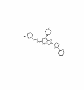 Cc1cccc(C=NNc2cc(N3CCOCC3)c3nc(-c4ccc(-c5ccccn5)s4)cn3n2)c1